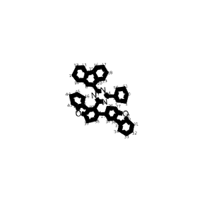 c1ccc(-c2nc(-c3cc4ccccc4c4ccccc34)nc(-c3c(-c4ccc5oc6ccccc6c5c4)ccc4oc5ccccc5c34)n2)cc1